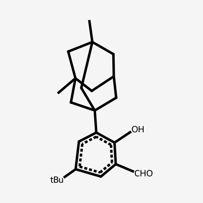 CC12CC3CC(C)(C1)CC(c1cc(C(C)(C)C)cc(C=O)c1O)(C3)C2